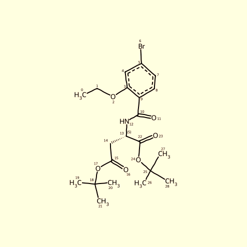 CCOc1cc(Br)ccc1C(=O)N[C@@H](CC(=O)OC(C)(C)C)C(=O)OC(C)(C)C